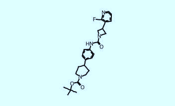 CC(C)(C)OC(=O)N1CCC(c2ccc(NC(=O)N3CC(c4cccnc4F)C3)cc2)CC1